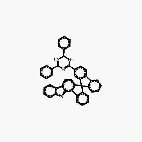 c1ccc(C2N=C(c3ccc4c(c3)C3(c5ccccc5-4)c4ccccc4-c4c3ccc3c4sc4ccccc43)NC(c3ccccc3)N2)cc1